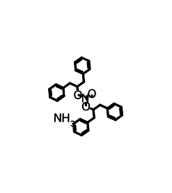 N.O=[N+](OC(Cc1ccccc1)Cc1ccccc1)OC(Cc1ccccc1)Cc1ccccc1